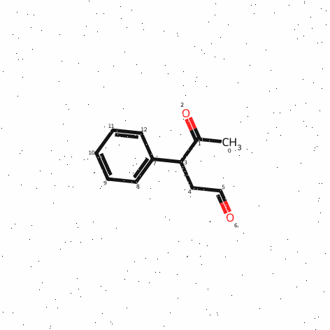 CC(=O)C(CC=O)c1ccccc1